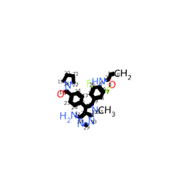 C=CC(=O)Nc1c(F)cc(-c2c(-c3ccc(C(=O)N4CCCC4)cc3)c3c(N)ncnc3n2C)cc1F